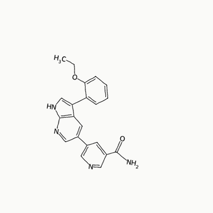 CCOc1ccccc1-c1c[nH]c2ncc(-c3cncc(C(N)=O)c3)cc12